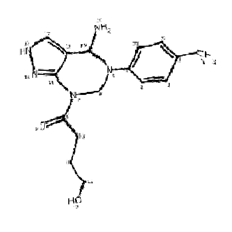 Cc1ccc(N2CN(C(=O)CCCO)c3n[nH]cc3C2N)cc1